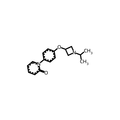 CC(C)N1CC(Oc2ccc(-n3ccccc3=O)cc2)C1